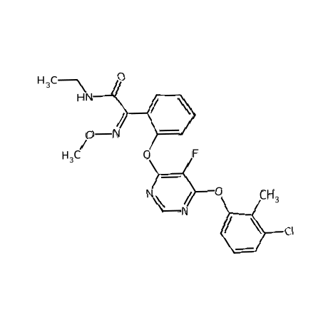 CCNC(=O)/C(=N\OC)c1ccccc1Oc1ncnc(Oc2cccc(Cl)c2C)c1F